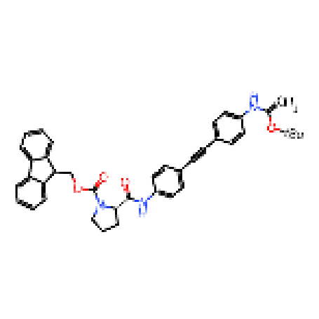 C=C(Nc1ccc(C#Cc2ccc(NC(=O)[C@@H]3CCCN3C(=O)OCC3c4ccccc4-c4ccccc43)cc2)cc1)OC(C)(C)C